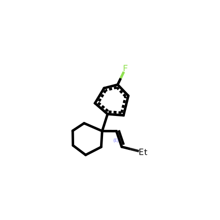 CC/C=C/C1(c2ccc(F)cc2)CCCCC1